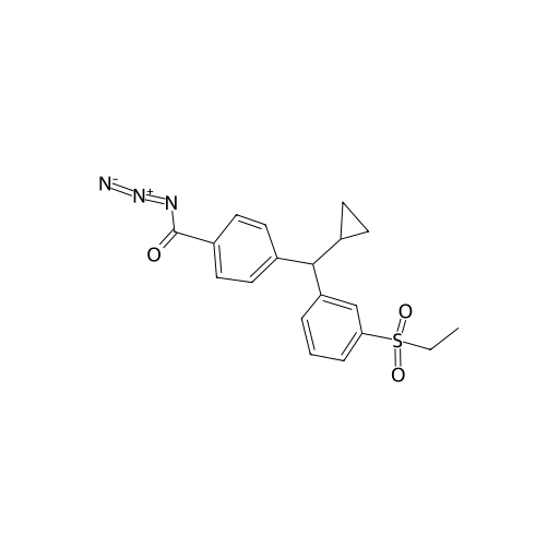 CCS(=O)(=O)c1cccc(C(c2ccc(C(=O)N=[N+]=[N-])cc2)C2CC2)c1